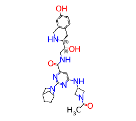 CC(=O)N1CC(Nc2cc(C(=O)NC[C@@H](O)[C@@H]3Cc4ccc(O)cc4CN3)nc(N3CC4CCC3C4)n2)C1